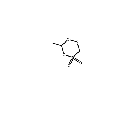 CC1OSCS(=O)(=O)O1